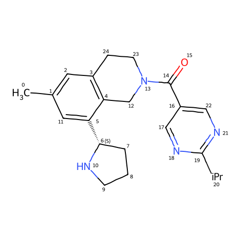 Cc1cc2c(c([C@@H]3CCCN3)c1)CN(C(=O)c1cnc(C(C)C)nc1)CC2